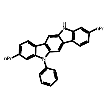 CCCc1ccc2c(c1)[nH]c1cc3c4ccc(CCC)cc4n(-c4ccccc4)c3cc12